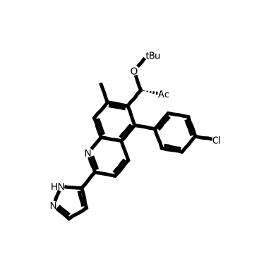 CC(=O)[C@@H](OC(C)(C)C)c1c(C)cc2nc(-c3ccn[nH]3)ccc2c1-c1ccc(Cl)cc1